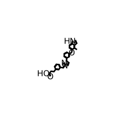 Cc1c(Oc2cccc(-c3ccn(Cc4cccc(CCC(=O)O)c4)n3)c2)ccc2[nH]ccc12